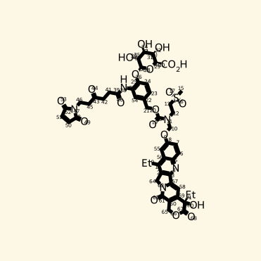 CCc1c2c(nc3ccc(OCN(CCS(C)(=O)=O)C(=O)OCc4ccc(O[C@@H]5O[C@H](C(=O)O)[C@@H](O)[C@H](O)[C@H]5O)c(NC(=O)CCC(=O)CCN5C(=O)C=CC5=O)c4)cc13)-c1cc3c(c(=O)n1C2)COC(=O)[C@]3(O)CC